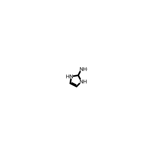 [NH]C1NC=CN1